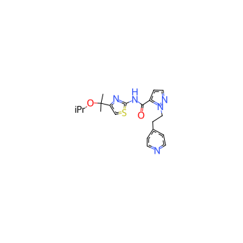 CC(C)OC(C)(C)c1csc(NC(=O)c2ccnn2CCc2ccncc2)n1